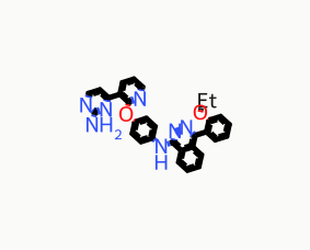 CCOc1ccccc1-c1nnc(Nc2ccc(Oc3ncccc3-c3ccnc(N)n3)cc2)c2ccccc12